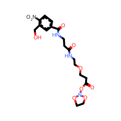 O=C(CCNC(=O)c1ccc([N+](=O)[O-])c(CO)c1)NCCOCCC(=O)ON1OCCO1